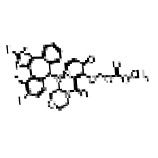 COC(=O)OCOc1c2n(ccc1=O)N(C1c3ccccc3-c3sc(F)nc3-c3c1ccc(F)c3F)C1COCCN1C2=O